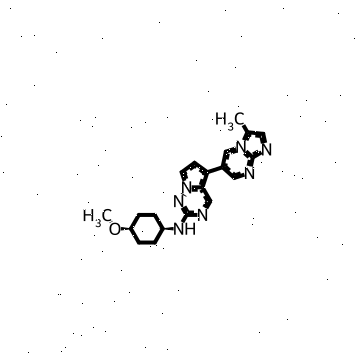 CO[C@H]1CC[C@@H](Nc2ncc3c(-c4cnc5ncc(C)n5c4)ccn3n2)CC1